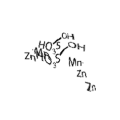 O=S(=O)(O)O.O=S(=O)(O)O.[Mn].[Mn].[Zn].[Zn].[Zn]